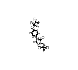 O=c1n(-c2ccc(OC(F)(F)C(F)F)cc2)cnn1SC(F)(Cl)Cl